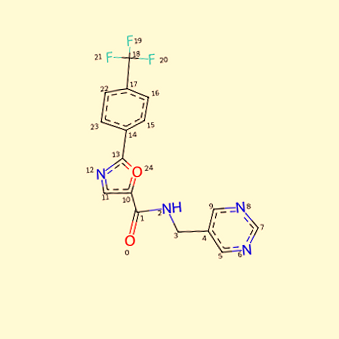 O=C(NCc1cncnc1)c1cnc(-c2ccc(C(F)(F)F)cc2)o1